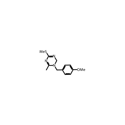 COc1ccc(CN2CN=C(SC)N=C2C)cc1